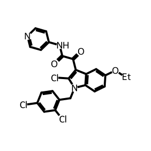 CCOc1ccc2c(c1)c(C(=O)C(=O)Nc1ccncc1)c(Cl)n2Cc1ccc(Cl)cc1Cl